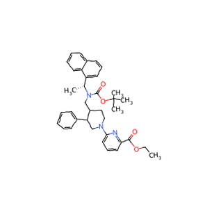 CCOC(=O)c1cccc(N2CCC(CN(C(=O)OC(C)(C)C)[C@H](C)c3cccc4ccccc34)C(c3ccccc3)C2)n1